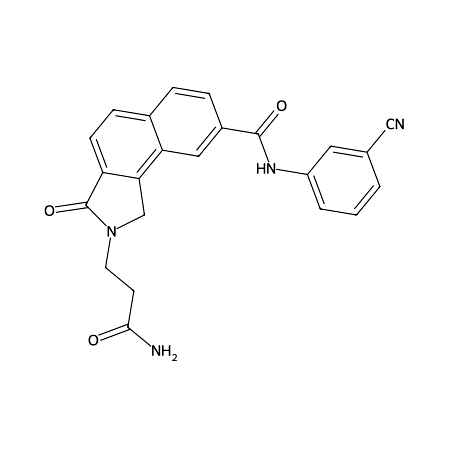 N#Cc1cccc(NC(=O)c2ccc3ccc4c(c3c2)CN(CCC(N)=O)C4=O)c1